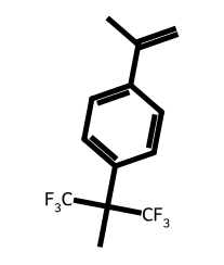 C=C(C)c1ccc(C(C)(C(F)(F)F)C(F)(F)F)cc1